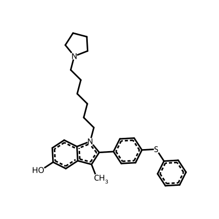 Cc1c(-c2ccc(Sc3ccccc3)cc2)n(CCCCCCN2CCCC2)c2ccc(O)cc12